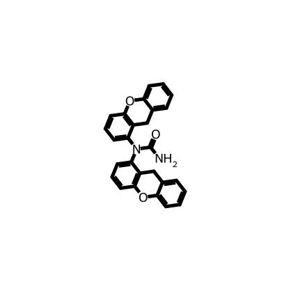 NC(=O)N(c1cccc2c1Cc1ccccc1O2)c1cccc2c1Cc1ccccc1O2